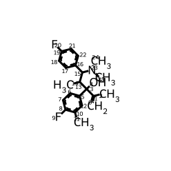 C=C(C)C(O)(c1ccc(F)c(C)c1)C(C)C(c1ccc(F)cc1)N(C)C